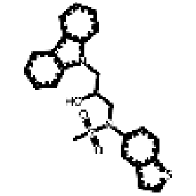 CS(=O)(=O)N(CC(O)Cn1c2ccccc2c2ccccc21)c1ccc2sccc2c1